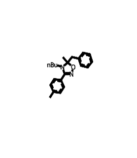 CCCCN1C(c2ccc(C)cc2)=NOC1(C)Cc1ccccc1